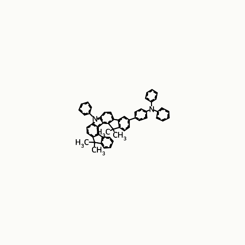 CC1(C)c2ccccc2-c2c1ccc1c2c2c3c(ccc2n1-c1ccccc1)-c1cc(-c2ccc(N(c4ccccc4)c4ccccc4)cc2)ccc1C3(C)C